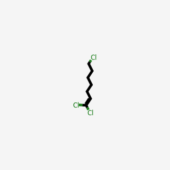 ClCCCCCC=C(Cl)Cl